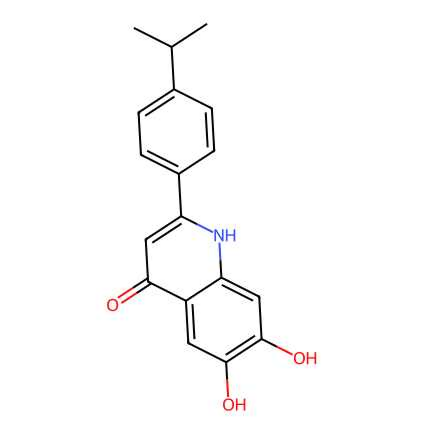 CC(C)c1ccc(-c2cc(=O)c3cc(O)c(O)cc3[nH]2)cc1